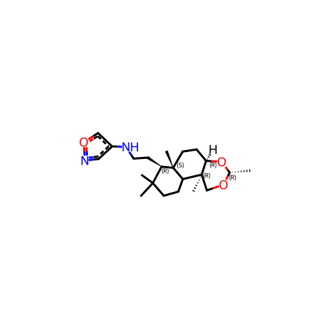 C[C@@H]1OC[C@@]2(C)C3CCC(C)(C)[C@@H](CCNc4cnoc4)[C@]3(C)CC[C@H]2O1